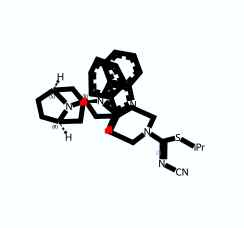 Cc1nc2ccccc2n1[C@H]1C[C@H]2CC[C@@H](C1)N2CCC1(c2ccccc2)CCN(/C(=N/C#N)SC(C)C)CC1